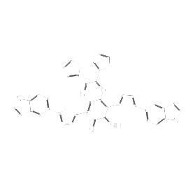 N=C1C(c2ccc(-c3ccc4[nH]ccc4c3)s2)=c2nc(-c3cccs3)c(-c3cccs3)nc2=C(c2ccc(-c3ccc4[nH]ccc4c3)s2)/C1=N/S